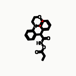 CCC(=O)ONC(=O)C(c1ccccc1)c1ccccc1N1CCOCC1